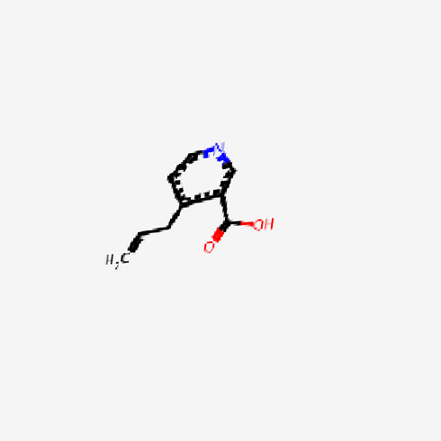 C=CCc1ccncc1C(=O)O